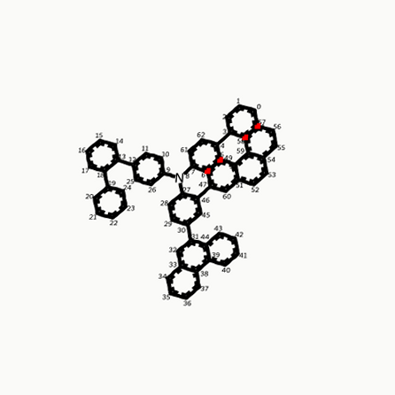 c1ccc(-c2ccc(N(c3ccc(-c4ccccc4-c4ccccc4)cc3)c3ccc(-c4cc5ccccc5c5ccccc45)cc3-c3ccc4c(ccc5ccccc54)c3)cc2)cc1